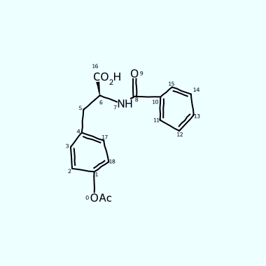 CC(=O)Oc1ccc(C[C@H](NC(=O)c2ccccc2)C(=O)O)cc1